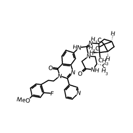 COc1ccc(CCn2c(-c3cccnc3)nc3cc(N/C(=N/C4C[C@H]5C[C@@H]([C@@H]4C)C5(C)C)N4CC(=O)N[C@@H](C)C4)ccc3c2=O)c(F)c1